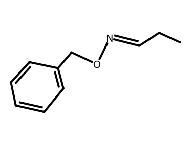 CCC=NOCc1ccccc1